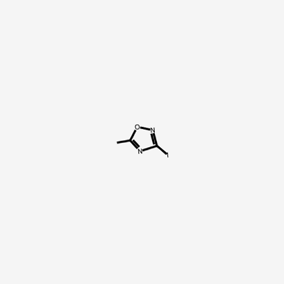 Cc1nc(I)no1